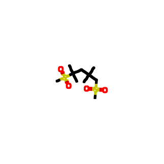 CC(C)(CC(C)(C)S(C)(=O)=O)CS(C)(=O)=O